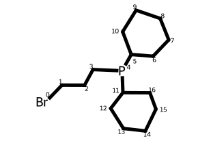 BrCCCP(C1CCCCC1)C1CCCCC1